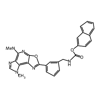 CNc1nc2oc(-c3cccc(CNC(=O)Oc4ccc5ccccc5c4)c3)nc2c2c1ncn2C